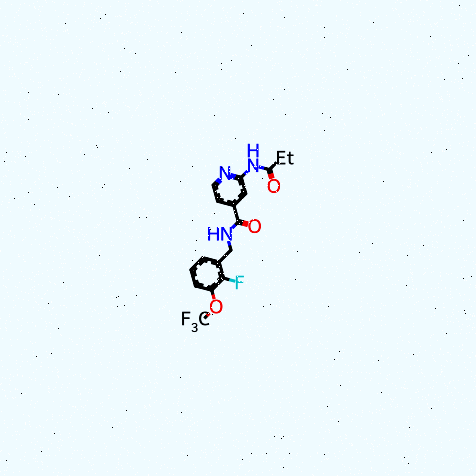 CCC(=O)Nc1cc(C(=O)NCc2cccc(OC(F)(F)F)c2F)ccn1